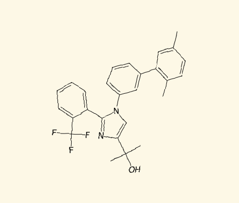 Cc1ccc(C)c(-c2cccc(-n3cc(C(C)(C)O)nc3-c3ccccc3C(F)(F)F)c2)c1